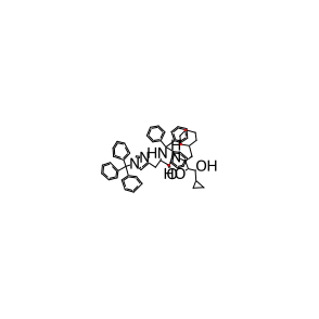 O=C(N[C@@H](CC1CCCCC1)[C@H](O)C(O)C1CC1)C(Cc1cn(C(c2ccccc2)(c2ccccc2)c2ccccc2)cn1)NC(c1ccccc1)(c1ccccc1)c1ccccc1